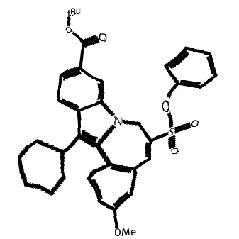 COc1ccc2c(c1)C=C(S(=O)(=O)Oc1ccccc1)Cn1c-2c(C2CCCCC2)c2ccc(C(=O)OC(C)(C)C)cc21